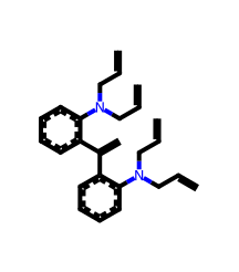 C=CCN(CC=C)c1ccccc1C(=C)c1ccccc1N(CC=C)CC=C